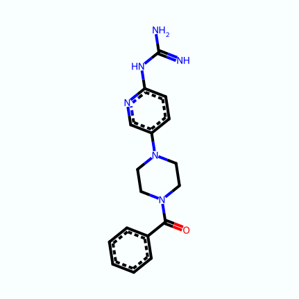 N=C(N)Nc1ccc(N2CCN(C(=O)c3ccccc3)CC2)cn1